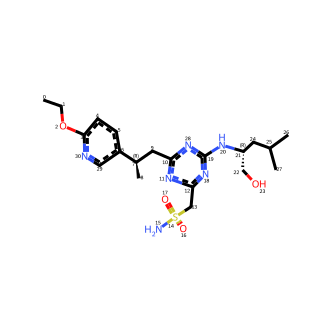 CCOc1ccc([C@H](C)Cc2nc(CS(N)(=O)=O)nc(N[C@@H](CO)CC(C)C)n2)cn1